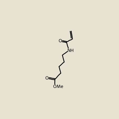 C=CC(=O)NCCCCC(=O)OC